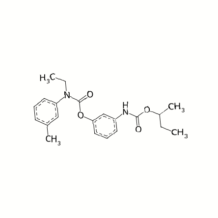 CCC(C)OC(=O)Nc1cccc(OC(=O)N(CC)c2cccc(C)c2)c1